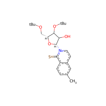 Cc1ccc2c(=S)n([C@@H]3O[C@H](COC(C)(C)C)C(OC(C)(C)C)C3O)ccc2c1